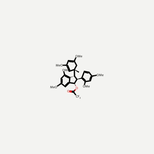 COC1=C[C@@](C)([C@H]2c3c(OC)cc(OC)cc3[C@@H](OC(=O)C(F)(F)F)[C@@H]2c2ccc(OC)cc2OC)CC(OC)=C1